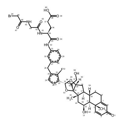 C[C@]12C=CC(=O)C=C1CC[C@@H]1[C@@H]2[C@@H](O)C[C@@]2(C)[C@H]1C[C@H]1O[C@@H](c3scc(Cc4cccc(NC(=O)[C@H](CCC(=O)O)NC(=O)CNC(=O)CBr)c4)c3F)O[C@]12C(=O)CO